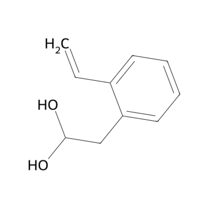 C=Cc1ccccc1CC(O)O